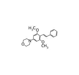 COc1cc(N2CCOCC2)cc(OC)c1C=Cc1ccccc1